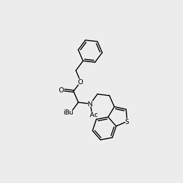 CCC(C)C(C(=O)OCc1ccccc1)N(CCc1csc2ccccc12)C(C)=O